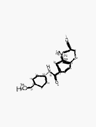 O=C1CSc2ccc(C(=O)N[C@H]3CC[C@H](CO)CC3)cc2N1